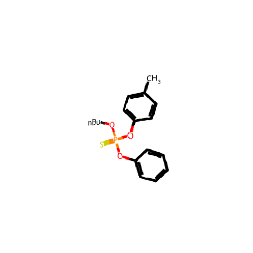 CCCCOP(=S)(Oc1ccccc1)Oc1ccc(C)cc1